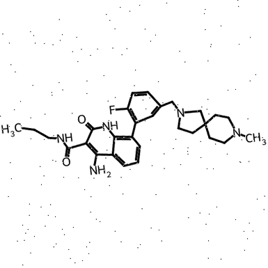 CCCNC(=O)c1c(N)c2cccc(-c3cc(CN4CCC5(CCN(C)CC5)C4)ccc3F)c2[nH]c1=O